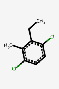 CCc1c(Cl)ccc(Cl)c1C